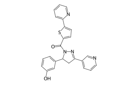 O=C(c1ccc(-c2ccccn2)s1)N1N=C(c2cccnc2)CC1c1cccc(O)c1